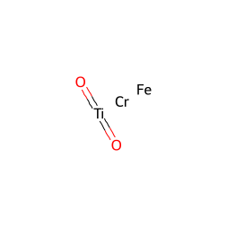 [Cr].[Fe].[O]=[Ti]=[O]